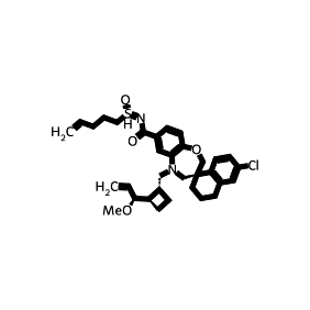 C=CCCC/[SH](=O)=N\C(=O)c1ccc2c(c1)N(C[C@@H]1CC[C@H]1[C@H](C=C)OC)C[C@@]1(CCCc3cc(Cl)ccc31)CO2